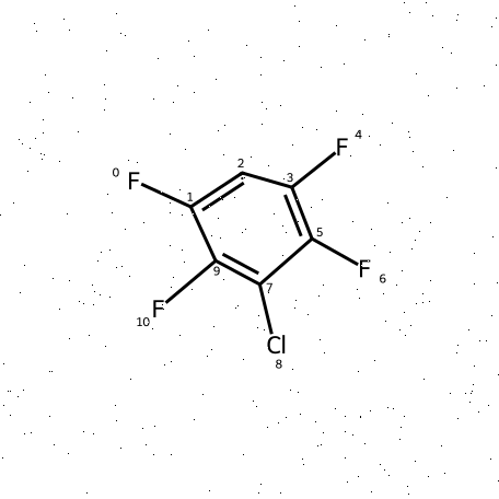 Fc1[c]c(F)c(F)c(Cl)c1F